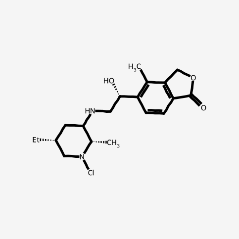 CC[C@@H]1CC(NC[C@H](O)c2ccc3c(c2C)COC3=O)[C@H](C)N(Cl)C1